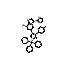 Fc1ccc(-c2nn(C(c3ccccc3)(c3ccccc3)C3C=CC=CC3)cc2-c2cc(F)c3ncc(-c4nccs4)n3c2)cc1